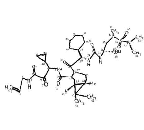 C=CCNC(=O)C(=O)C(NC(=O)[C@@H]1[C@@H]2[C@H](CN1C(=O)[C@@H](NC(=O)N[C@H](CN(C)S(=O)(=O)N(C)C)C(C)(C)C)C1CCCCC1)C2(C)C)C1CC1